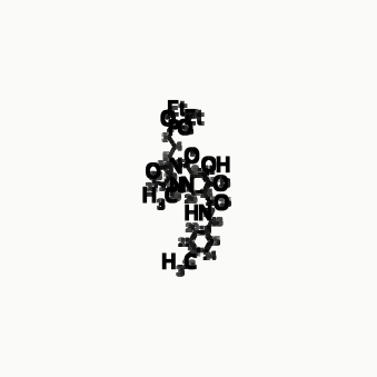 CCOP(CCCN1C(=O)c2c(O)c(=O)c(C(=O)NCc3ccc(C)cc3)cn2N(C)C12CCOC2)OCC